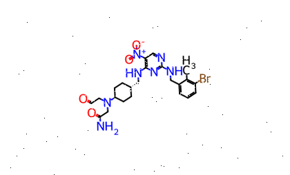 Cc1c(Br)cccc1CNc1ncc([N+](=O)[O-])c(NC[C@H]2CC[C@H](N(CC=O)CC(N)=O)CC2)n1